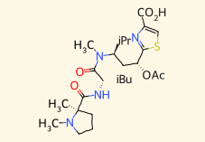 CC[C@H](C)[C@H](NC(=O)[C@@]1(C)CCCN1C)C(=O)N(C)[C@H](C[C@@H](OC(C)=O)c1nc(C(=O)O)cs1)C(C)C